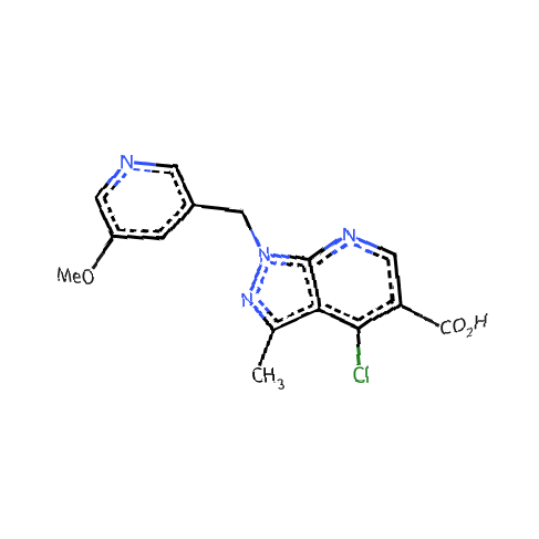 COc1cncc(Cn2nc(C)c3c(Cl)c(C(=O)O)cnc32)c1